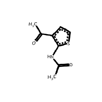 CC(=O)Nc1sccc1C(C)=O